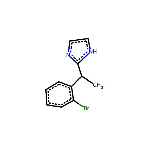 CC(c1ncc[nH]1)c1ccccc1Br